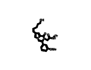 COc1cccc(-c2cn3cc(/C=C\CCCO)cc3c(=O)n2CC(=O)NC(C)C)c1